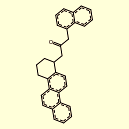 O=C(Cc1cccc2ccccc12)CC1CCCc2c1ccc1c2ccc2ccccc21